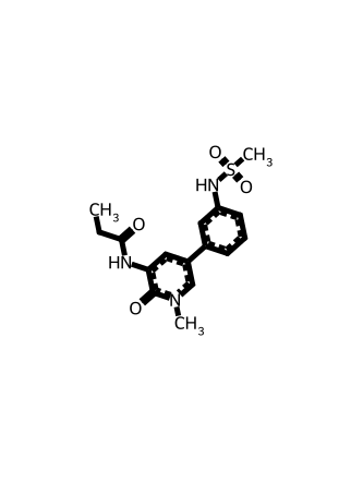 CCC(=O)Nc1cc(-c2cccc(NS(C)(=O)=O)c2)cn(C)c1=O